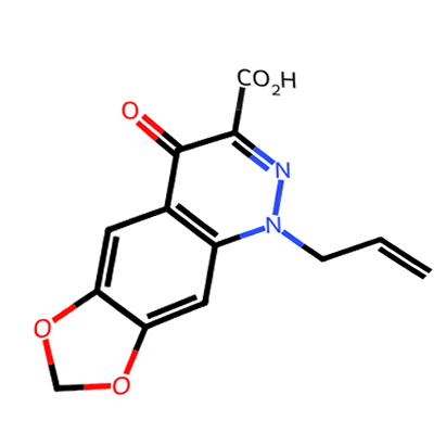 C=CCn1nc(C(=O)O)c(=O)c2cc3c(cc21)OCO3